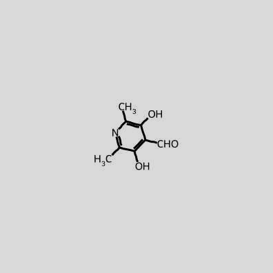 Cc1nc(C)c(O)c(C=O)c1O